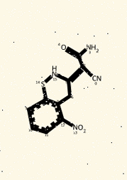 N#CC(C(N)=O)=C1Cc2c(cccc2[N+](=O)[O-])SN1